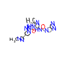 Cc1ncc(NC(=O)CN2CCc3ncncc3C2)cc1NC(=O)c1nnc2cc(-c3cnn(C)c3)ccn12